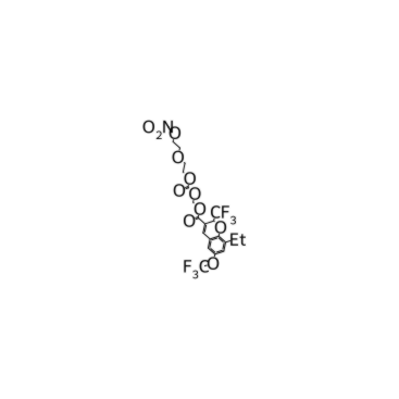 CCc1cc(OC(F)(F)F)cc2c1O[C@H](C(F)(F)F)C(C(=O)OCOC(=O)OCCOCCO[N+](=O)[O-])=C2